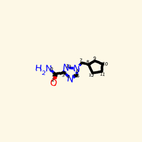 NC(=O)c1ncn(CC2CCCC2)n1